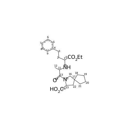 CCOC(=O)C(CCc1ccccc1)NC(C)C(=O)N1CC2(CCCC2)CC1C(=O)O